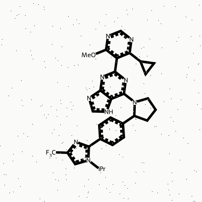 COc1ncnc(C2CC2)c1-c1nc(N2CCCC2c2ccc(-c3nc(C(F)(F)F)cn3C(C)C)cc2)c2[nH]cnc2n1